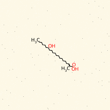 CCCCCCC(O)CCCCCCCCCCC/C=C(\C)C(=O)O